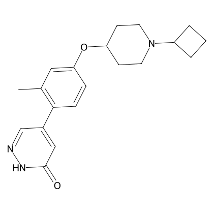 Cc1cc(OC2CCN(C3CCC3)CC2)ccc1-c1cn[nH]c(=O)c1